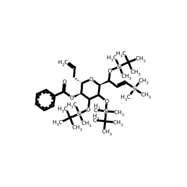 C=CC[C@@H]1O[C@@H](C(/C=C/[Si](C)(C)C)O[Si](C)(C)C(C)(C)C)C(O[Si](C)(C)C(C)(C)C)C(O[Si](C)(C)C(C)(C)C)[C@H]1OC(=O)c1ccccc1